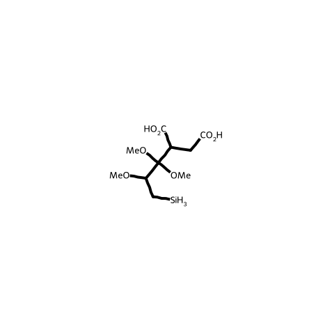 COC(C[SiH3])C(OC)(OC)C(CC(=O)O)C(=O)O